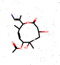 CC(=O)OC1C=CC(C)C(C(C)=CI)OC(=O)CC(O)CCC1(C)O